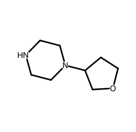 C1CN(C2CCOC2)CCN1